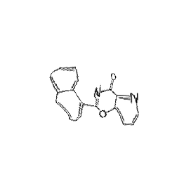 O=c1nc(-c2cccc3ccccc23)oc2cccnc12